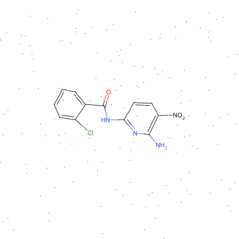 Nc1nc(NC(=O)c2ccccc2Cl)ccc1[N+](=O)[O-]